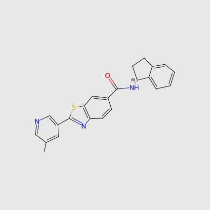 Cc1cncc(-c2nc3ccc(C(=O)N[C@@H]4CCc5ccccc54)cc3s2)c1